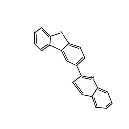 c1ccc2nc(-c3ccc4sc5ccccc5c4c3)ccc2c1